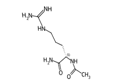 CC(=O)N[C@@H](CCCNC(=N)N)C(N)=O